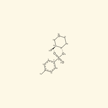 Cc1ccc(S(=O)(=O)O[C@H]2CCOC[C@@H]2F)cc1